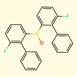 [O-][S+](c1cccc(F)c1-c1ccccc1)c1cccc(F)c1-c1ccccc1